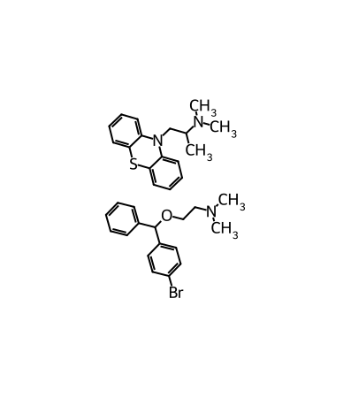 CC(CN1c2ccccc2Sc2ccccc21)N(C)C.CN(C)CCOC(c1ccccc1)c1ccc(Br)cc1